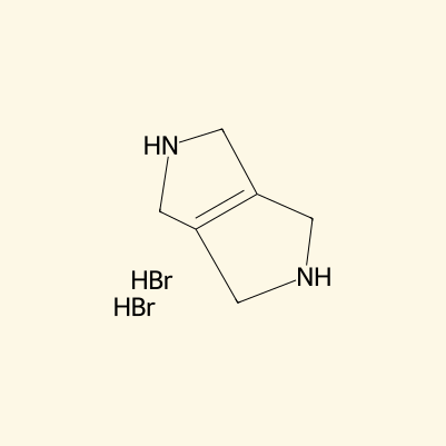 Br.Br.C1NCC2=C1CNC2